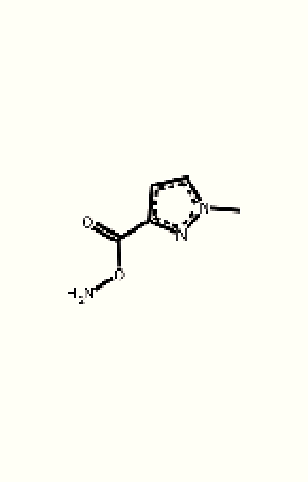 Cn1ccc(C(=O)ON)n1